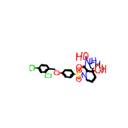 C[C@@]1(O)CCCN(S(=O)(=O)c2ccc(OCc3ccc(Cl)cc3Cl)cc2)C1C(=O)NO